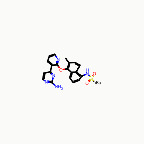 CCCCS(=O)(=O)Nc1cccc2c(Oc3ncccc3-c3ccnc(N)n3)c(C)ccc12